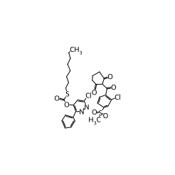 CCCCCCCCSC(=O)Oc1cc(Cl)nnc1-c1ccccc1.CS(=O)(=O)c1ccc(C(=O)C2C(=O)CCCC2=O)c(Cl)c1